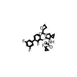 O=C(C1CCO1)N1CC2(CC2)[C@H](NS(=O)(=O)C2(F)CC2)[C@@H]1Cc1cccc(-c2cc(F)cc(F)c2)c1F